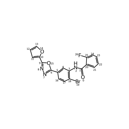 O=C(Nc1cc(-c2nnc(-c3ccco3)o2)ccc1Br)c1ccccc1F